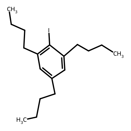 CCCCc1cc(CCCC)c(I)c(CCCC)c1